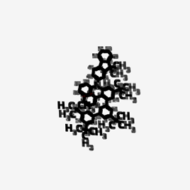 CC(C)(C)c1cc(-c2cc(C(C)(C)C)cc(C(C)(C)C)c2)cc(-c2cc(C(C)(C)C)cc(N(c3ccccc3)c3ccc4c(c3)C(C)(C)c3ccccc3-4)c2-c2ccccc2)c1